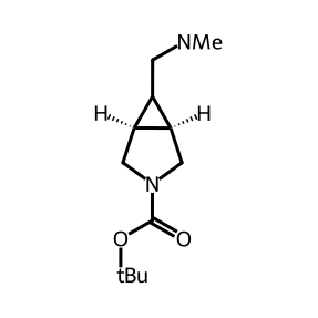 CNCC1[C@H]2CN(C(=O)OC(C)(C)C)C[C@@H]12